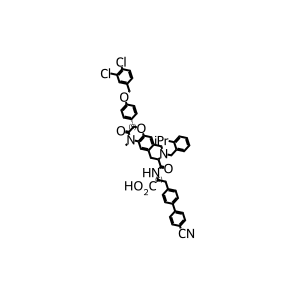 CC(C)c1ccccc1CN1Cc2cc3c(cc2CC1C(=O)N[C@@H](Cc1ccc(-c2ccc(C#N)cc2)cc1)C(=O)O)N(C)C(=O)[C@H](c1ccc(OCc2ccc(Cl)c(Cl)c2)cc1)O3